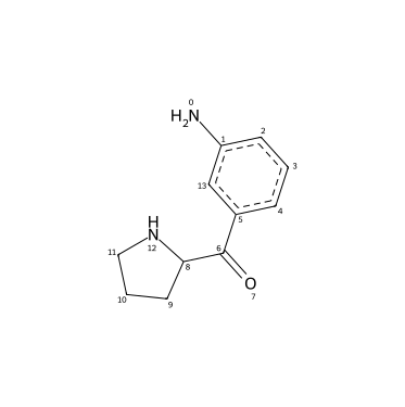 Nc1cccc(C(=O)C2CCCN2)c1